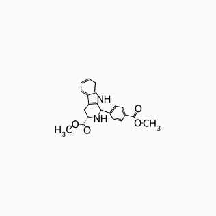 COC(=O)c1ccc(C2N[C@H](C(=O)OC)Cc3c2[nH]c2ccccc32)cc1